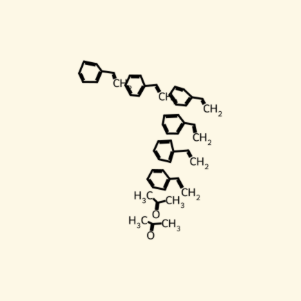 C=Cc1ccccc1.C=Cc1ccccc1.C=Cc1ccccc1.C=Cc1ccccc1.C=Cc1ccccc1.C=Cc1ccccc1.CC(C)=O.CC(C)=O